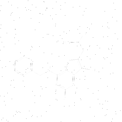 Cc1c(CC(C)N)sc2c(NCc3ncccn3)nc(Cl)nc12.Cl.Cl